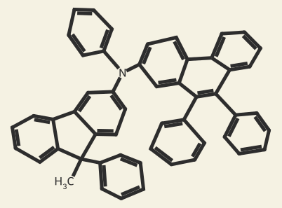 CC1(c2ccccc2)c2ccccc2-c2cc(N(c3ccccc3)c3ccc4c(c3)c(-c3ccccc3)c(-c3ccccc3)c3ccccc34)ccc21